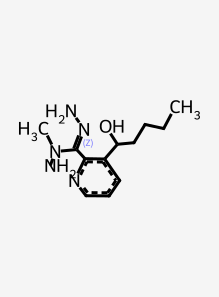 CCCCC(O)c1cccnc1/C(=N/N)N(C)N